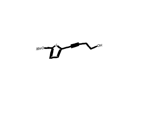 COc1ccc(C#CCCO)s1